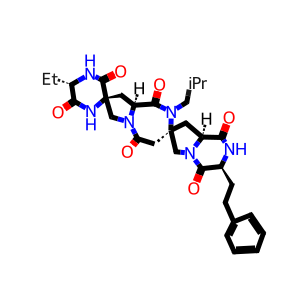 CC[C@@H]1NC(=O)[C@@]2(C[C@H]3C(=O)N(CC(C)C)[C@@]4(CC(=O)N3C2)C[C@H]2C(=O)N[C@@H](CCc3ccccc3)C(=O)N2C4)NC1=O